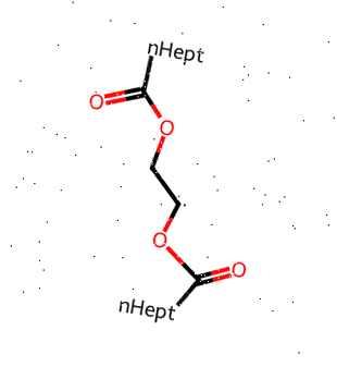 CCCCCCCC(=O)O[CH]COC(=O)CCCCCCC